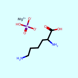 NCCCCC(N)C(=O)O.O=P([O-])([O-])O.[Mg+2]